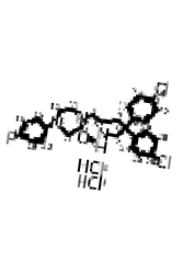 Cl.Cl.O=CNCC(CCCN1CCN(c2ccc(F)cc2)CC1)(c1ccc(Cl)cc1)c1ccc(Cl)cc1